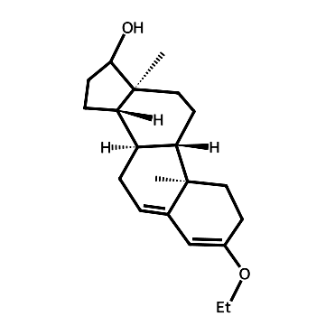 CCOC1=CC2=CC[C@@H]3[C@H](CC[C@]4(C)C(O)CC[C@@H]34)[C@@]2(C)CC1